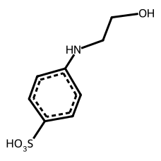 O=S(=O)(O)c1ccc(NCCO)cc1